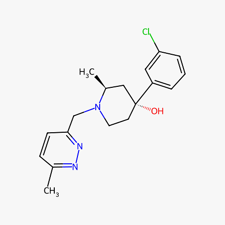 Cc1ccc(CN2CC[C@](O)(c3cccc(Cl)c3)C[C@@H]2C)nn1